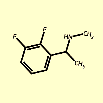 CNC(C)c1cccc(F)c1F